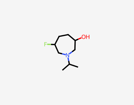 CC(C)N1CC(O)CCC(F)C1